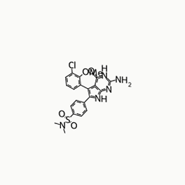 COc1c(Cl)cccc1-c1c(-c2ccc(S(=O)(=O)N(C)C)cc2)[nH]c2nc(N)[nH]c(=O)c12